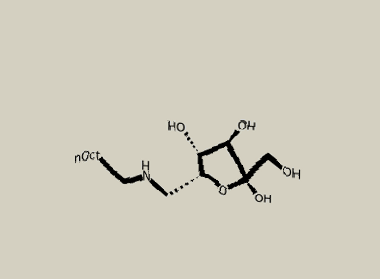 CCCCCCCCCNC[C@H]1O[C@@](O)(CO)[C@H](O)[C@H]1O